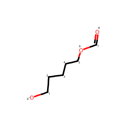 [O]CCCCCOC=O